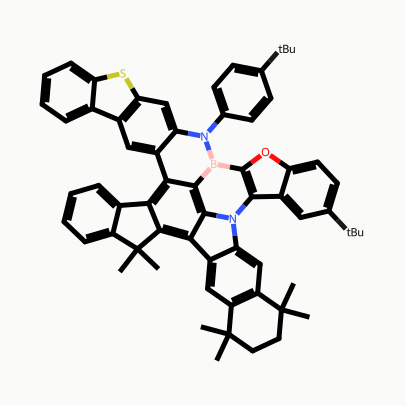 CC(C)(C)c1ccc(N2B3c4oc5ccc(C(C)(C)C)cc5c4-n4c5cc6c(cc5c5c7c(c(c3c54)-c3cc4c(cc32)sc2ccccc24)-c2ccccc2C7(C)C)C(C)(C)CCC6(C)C)cc1